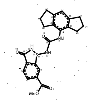 COC(=O)c1ccc2c(c1)[SH](NC(=O)Nc1c3c(cc4c1CCC4)CCC3)NC2=O